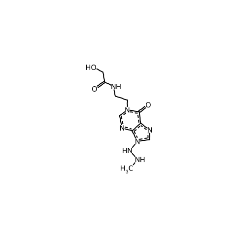 CNNn1cnc2c(=O)n(CCNC(=O)CO)cnc21